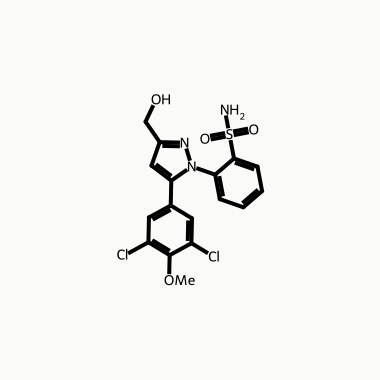 COc1c(Cl)cc(-c2cc(CO)nn2-c2ccccc2S(N)(=O)=O)cc1Cl